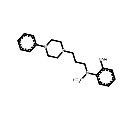 COc1ccccc1N(CCCN1CCN(c2ccccc2)CC1)C(=O)O